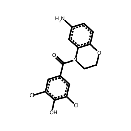 Nc1ccc2c(c1)N(C(=O)c1cc(Cl)c(O)c(Cl)c1)CCO2